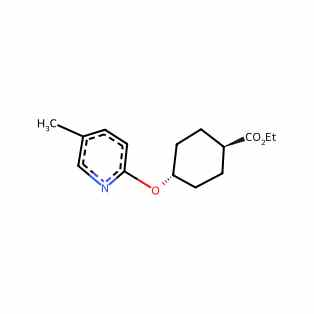 CCOC(=O)[C@H]1CC[C@H](Oc2ccc(C)cn2)CC1